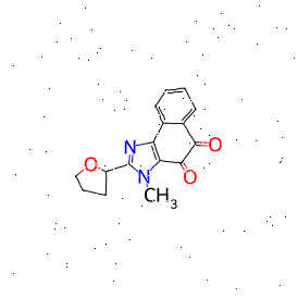 Cn1c(C2CCCO2)nc2c1C(=O)C(=O)c1ccccc1-2